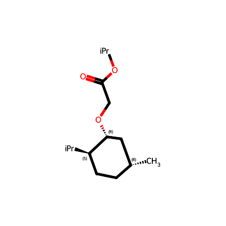 CC(C)OC(=O)CO[C@@H]1C[C@H](C)CC[C@H]1C(C)C